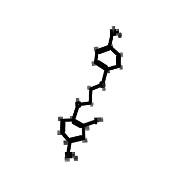 Nc1ccc(OCCOc2ccc(N)cc2F)cc1